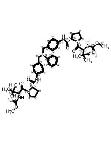 COC(=O)N[C@H](C(=O)N1CCC[C@H]1C(=O)Nc1ccc(CN(Cc2ccc(NC(=O)[C@@H]3CCCN3C(=O)[C@@H](NC(=O)OC)C(C)(C)C)cc2)c2ccccc2)cc1)C(C)(C)C